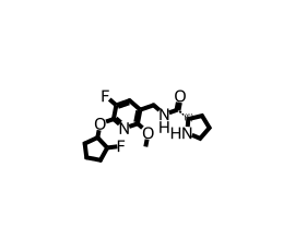 COc1nc(OC2CCCC2F)c(F)cc1CNC(=O)[C@@H]1CCCN1